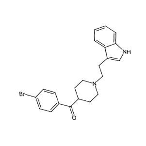 O=C(c1ccc(Br)cc1)C1CCN(CCc2c[nH]c3ccccc23)CC1